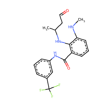 CNc1cccc(C(=O)Nc2cccc(C(F)(F)F)c2)c1NC(C)CC=O